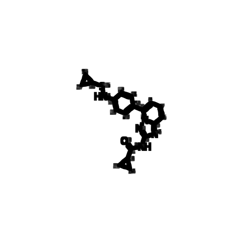 O=C(Nc1nc2cccc(-c3ccc(NSC4CC4)cc3)n2n1)C1CC1